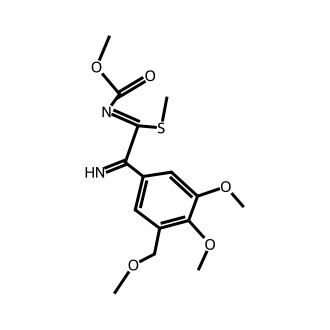 COCc1cc(C(=N)C(=NC(=O)OC)SC)cc(OC)c1OC